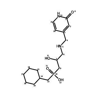 O=c1cc(CNCC(O)CP(=O)(O)CC2CCCCC2)cc[nH]1